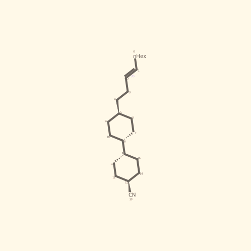 CCCCCC/C=C/CC[C@H]1CC[C@H]([C@H]2CC[C@H](C#N)CC2)CC1